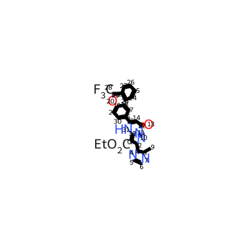 CCOC(=O)c1c(-c2nccnc2C)nn2c(=O)cc(-c3ccc(O[C@H](c4ccccc4)C(F)(F)F)cc3)[nH]c12